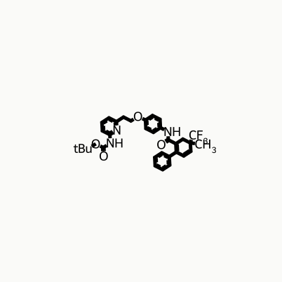 CC(C)(C)OC(=O)Nc1cccc(CCOc2ccc(NC(=O)C3=C(c4ccccc4)C=CC(C)(C(F)(F)F)C3)cc2)n1